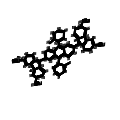 Cc1ccccc1-c1c2ccc(-n3c4ccc(C(C)(C)C)cc4c4cc(C(C)(C)C)ccc43)cc2c(-c2ccccc2C)c2ccc(-n3c4ccc(C(C)(C)C)cc4c4cc(C(C)(C)C)ccc43)cc12